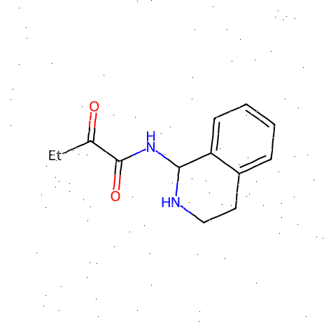 CCC(=O)C(=O)NC1NCCc2ccccc21